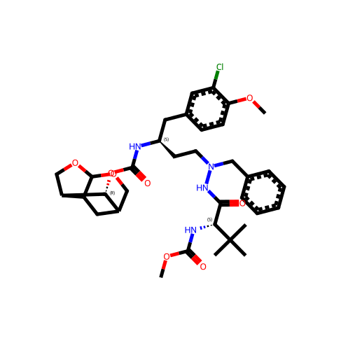 COC(=O)N[C@H](C(=O)NN(CC[C@H](Cc1ccc(OC)c(Cl)c1)NC(=O)O[C@@H]1C2COC3OCC1C3C2)Cc1ccccc1)C(C)(C)C